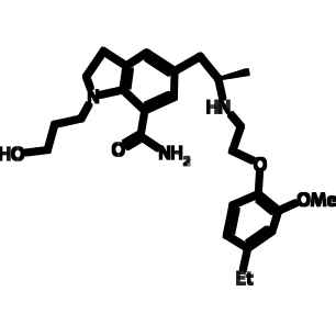 CCc1ccc(OCCN[C@H](C)Cc2cc3c(c(C(N)=O)c2)N(CCCO)CC3)c(OC)c1